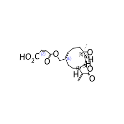 C=C1C(=O)O[C@H]2[C@H]1CC/C(COC(=O)/C=C\C(=O)O)=C\CC[C@@]1(C)O[C@@H]21